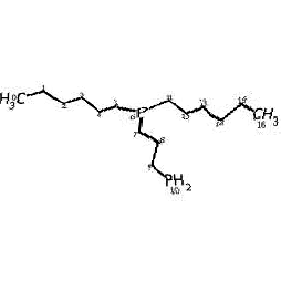 CCCCCCP(CCCP)CCCCCC